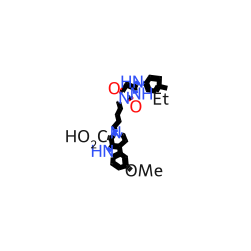 CCc1cc(Nc2cc(=O)n(CCCCCN3CCc4c([nH]c5ccc(OC)cc45)C3C(=O)O)c(=O)[nH]2)ccc1C